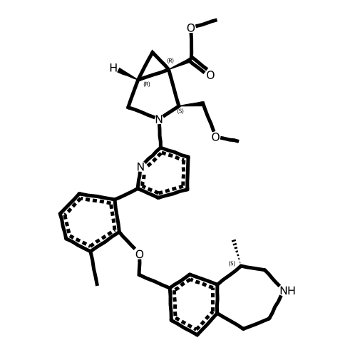 COC[C@H]1N(c2cccc(-c3cccc(C)c3OCc3ccc4c(c3)[C@H](C)CNCC4)n2)C[C@@H]2C[C@@]21C(=O)OC